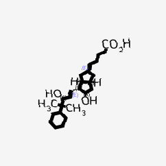 CC(C)(C1CCCCC1)[C@@H](O)/C=C/[C@@H]1[C@H]2C/C(=C/CCCC(=O)O)C[C@@H]2C[C@H]1O